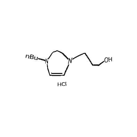 CCCCN1C=CN(CCO)C1.Cl